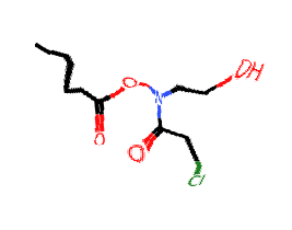 CCCC(=O)ON(CCO)C(=O)CCl